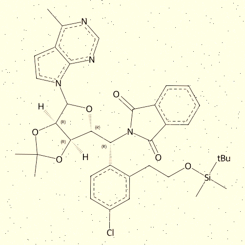 Cc1ncnc2c1ccn2C1O[C@H]([C@@H](c2ccc(Cl)cc2CCO[Si](C)(C)C(C)(C)C)N2C(=O)c3ccccc3C2=O)[C@H]2OC(C)(C)O[C@@H]12